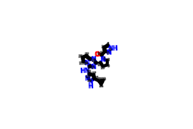 O=C(c1cc[nH]n1)N1CCC[C@H]1c1nc(Nc2cc(C3CC3)[nH]n2)n2cccc2n1